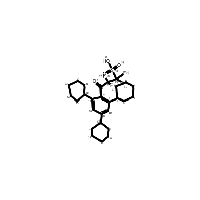 O=C(c1c(C2CCCCC2)cc(C2CCCCC2)cc1C1CCCCC1)C(F)(F)C(F)(F)S(=O)(=O)O